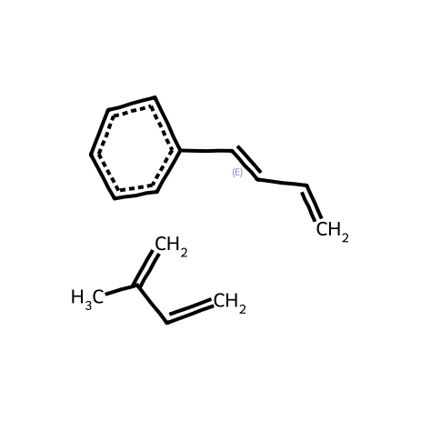 C=C/C=C/c1ccccc1.C=CC(=C)C